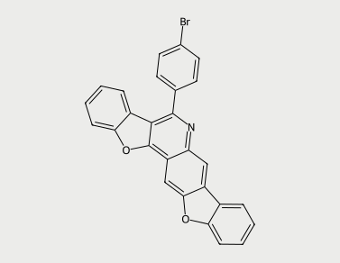 Brc1ccc(-c2nc3cc4c(cc3c3oc5ccccc5c23)oc2ccccc24)cc1